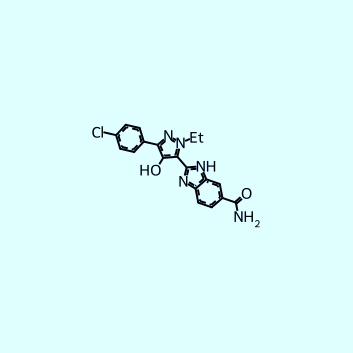 CCn1nc(-c2ccc(Cl)cc2)c(O)c1-c1nc2ccc(C(N)=O)cc2[nH]1